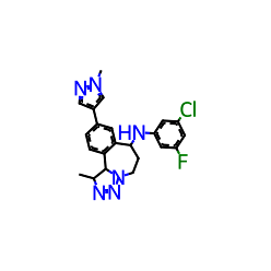 CC1N=NN2CCC(Nc3cc(F)cc(Cl)c3)c3cc(-c4cnn(C)c4)ccc3C12